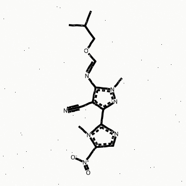 CC(C)COC=Nc1c(C#N)c(-c2ncc([N+](=O)[O-])n2C)nn1C